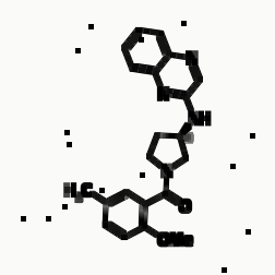 COc1ccc(C)cc1C(=O)N1CC[C@@H](Nc2cnc3ccccc3n2)C1